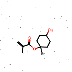 C=C(C)C(=O)OC1(CC)CCC(O)CC1